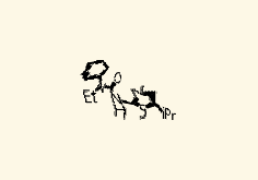 CCN(C(=O)Nc1ncc(C(C)C)s1)c1ccccc1